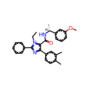 CCn1c(-c2ccccc2)nc(-c2ccc(C)c(C)c2)c1C(=O)N[C@H](C)c1cccc(OC)c1